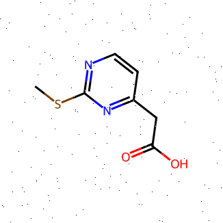 CSc1nccc(CC(=O)O)n1